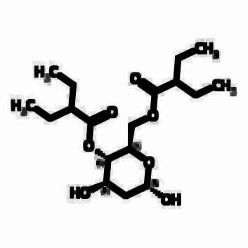 CCC(CC)C(=O)OC[C@H]1O[C@H](O)C[C@@H](O)[C@@H]1OC(=O)C(CC)CC